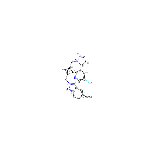 N#Cc1ccc2nn(CC34CC(CN5N=CCC5c5cncc(F)c5)(C3)C4)cc2c1